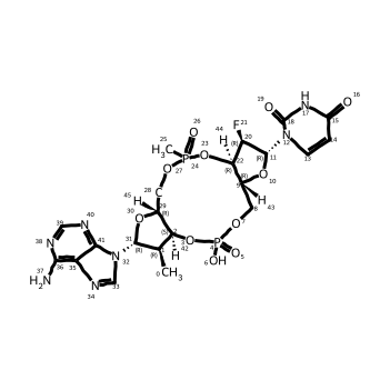 C[C@@H]1[C@@H]2OP(=O)(O)OC[C@H]3O[C@@H](n4ccc(=O)[nH]c4=O)[C@H](F)[C@@H]3OP(C)(=O)OC[C@H]2O[C@H]1n1cnc2c(N)ncnc21